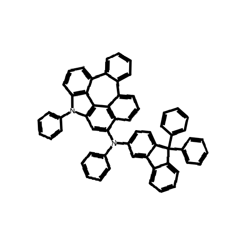 c1ccc(N(c2ccc3c(c2)-c2ccccc2C3(c2ccccc2)c2ccccc2)c2cc3c4c5c(cccc25)-c2ccccc2-c2cccc(c24)n3-c2ccccc2)cc1